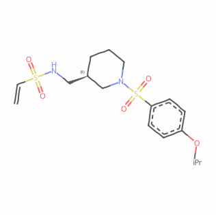 C=CS(=O)(=O)NC[C@H]1CCCN(S(=O)(=O)c2ccc(OC(C)C)cc2)C1